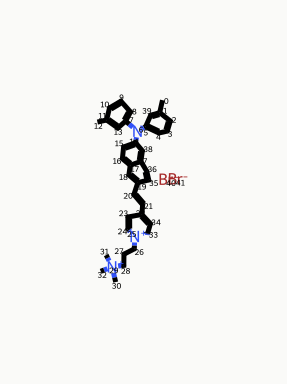 Cc1cccc(N(c2cccc(C)c2)c2ccc3cc(/C=C/c4cc[n+](CCC[N+](C)(C)C)cc4)ccc3c2)c1.[Br-].[Br-]